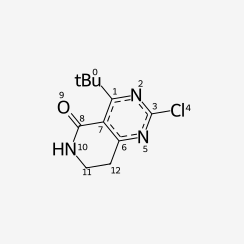 CC(C)(C)c1nc(Cl)nc2c1C(=O)NCC2